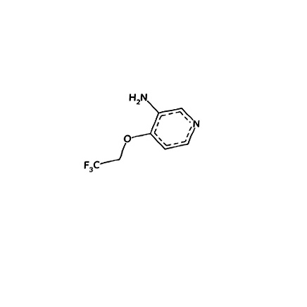 Nc1cnccc1OCC(F)(F)F